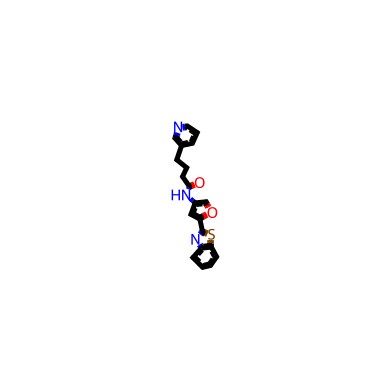 O=C(CCCc1cccnc1)Nc1coc(-c2nc3ccccc3s2)c1